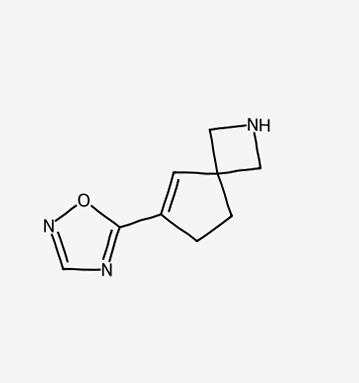 C1=C(c2ncno2)CCC12CNC2